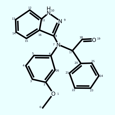 COc1cccc(N(c2n[nH]c3ccccc23)C(C=O)c2ccccc2)c1